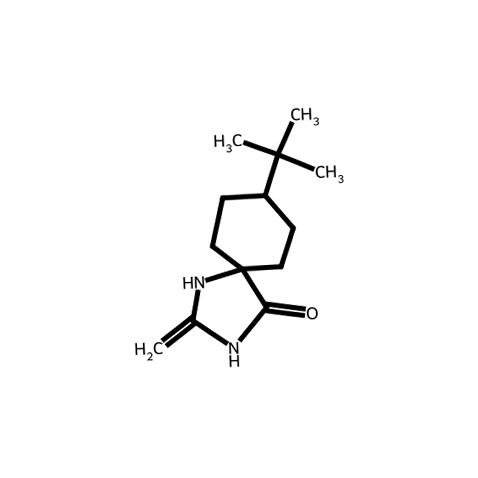 C=C1NC(=O)C2(CCC(C(C)(C)C)CC2)N1